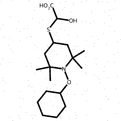 CC1(C)CC(SC(O)C(=O)O)CC(C)(C)N1OC1CCCCC1